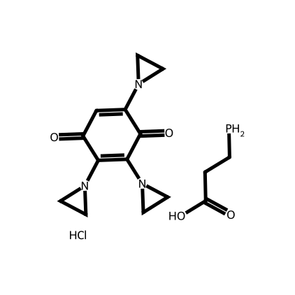 Cl.O=C(O)CCP.O=C1C=C(N2CC2)C(=O)C(N2CC2)=C1N1CC1